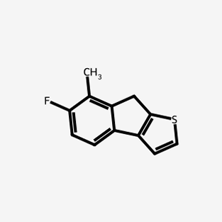 Cc1c(F)ccc2c1Cc1sccc1-2